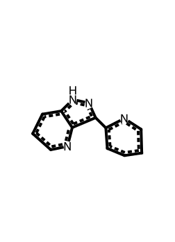 c1ccc(-c2n[nH]c3cccnc23)nc1